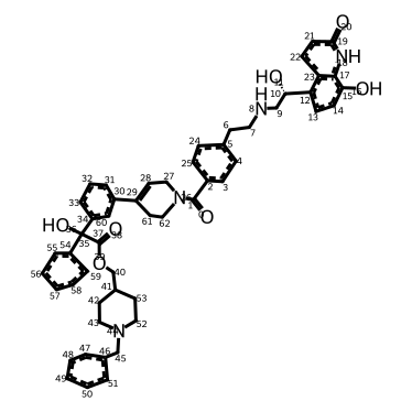 O=C(c1ccc(CCNC[C@H](O)c2ccc(O)c3[nH]c(=O)ccc23)cc1)N1CC=C(c2cccc(C(O)(C(=O)OCC3CCN(Cc4ccccc4)CC3)c3ccccc3)c2)CC1